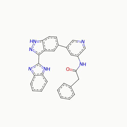 O=C(Cc1ccccc1)Nc1cncc(-c2ccc3[nH]nc(-c4nc5ccccc5[nH]4)c3c2)c1